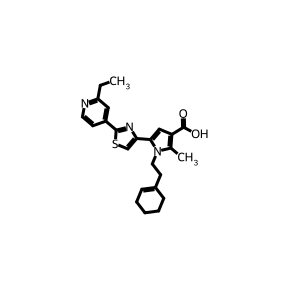 CCc1cc(-c2nc(-c3cc(C(=O)O)c(C)n3CCC3=CCCCC3)cs2)ccn1